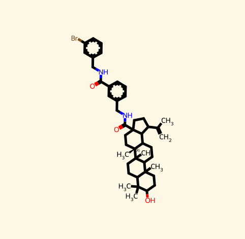 C=C(C)C1CCC2(C(=O)NCc3cccc(C(=O)NCc4cccc(Br)c4)c3)CC[C@]3(C)C(CCC4C5(C)CCC(O)C(C)(C)C5CCC43C)C12